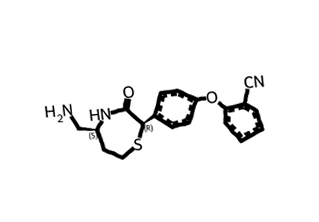 N#Cc1ccccc1Oc1ccc([C@H]2SCC[C@@H](CN)NC2=O)cc1